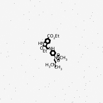 CCOC(=O)c1ccc2c(c1)NC(=O)C2=C(CC)Nc1ccc(N(CCN(C)C)S(C)(=O)=O)cc1